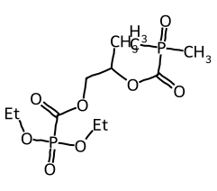 CCOP(=O)(OCC)C(=O)OCC(C)OC(=O)P(C)(C)=O